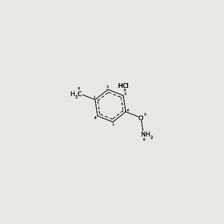 Cc1ccc(ON)cc1.Cl